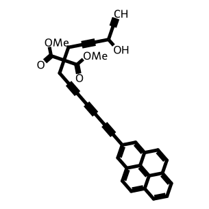 C#CC(O)C#CCC(CC#CC#CC#Cc1cc2ccc3cccc4ccc(c1)c2c34)(C(=O)OC)C(=O)OC